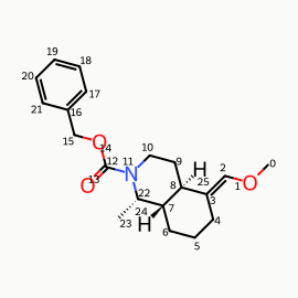 CO/C=C1\CCC[C@H]2[C@H]1CCN(C(=O)OCc1ccccc1)[C@H]2C